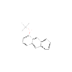 CC(C)(C)Oc1cccc2cc3ccccc3cc12